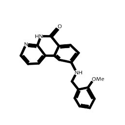 COc1ccccc1CNc1ccc2c(=O)[nH]c3ncccc3c2c1